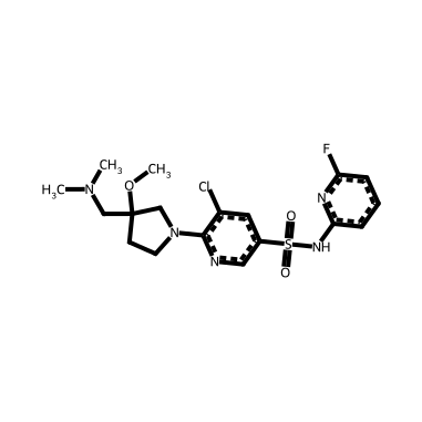 COC1(CN(C)C)CCN(c2ncc(S(=O)(=O)Nc3cccc(F)n3)cc2Cl)C1